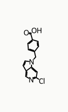 O=C(O)c1ccc(Cn2ccc3cnc(Cl)cc32)cc1